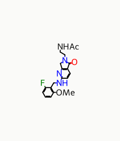 COc1cccc(F)c1CNc1ccc2c(n1)CN(CCNC(C)=O)C2=O